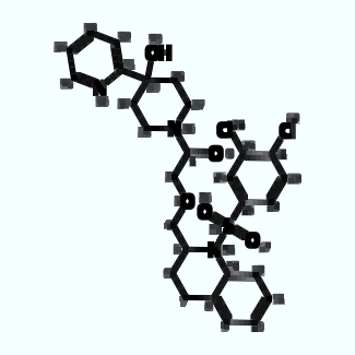 O=C(COCC1CCc2ccccc2N1S(=O)(=O)c1ccc(Cl)c(Cl)c1)N1CCC(O)(c2ccccn2)CC1